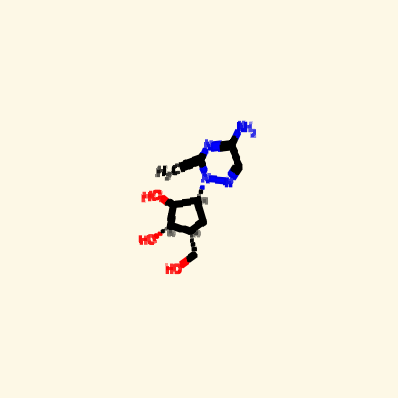 C=C1N=C(N)C=NN1[C@@H]1C[C@H](CO)[C@H](O)C1O